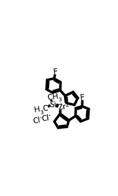 C[Si](C)=[Zr+2]([C]1=C(c2cccc(F)c2)C=CC1)[C]1=C(c2cccc(F)c2)C=CC1.[Cl-].[Cl-]